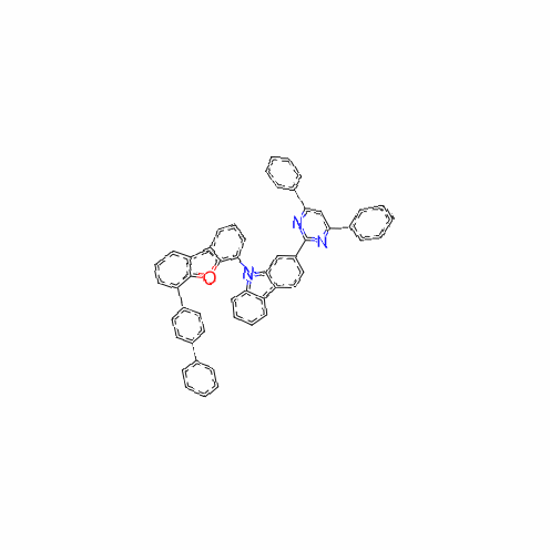 c1ccc(-c2ccc(-c3cccc4c3oc3c(-n5c6ccccc6c6ccc(-c7nc(-c8ccccc8)cc(-c8ccccc8)n7)cc65)cccc34)cc2)cc1